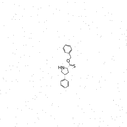 S=C(OCc1ccccc1)[C@@H]1C[C@H](c2ccccc2)CN1